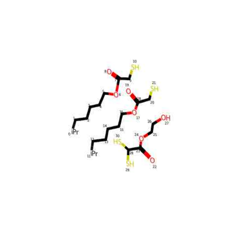 CC(C)CCCCCOC(=O)CS.CC(C)CCCCCOC(=O)CS.O=C(OCCO)C(S)S